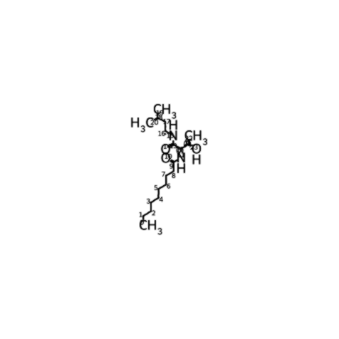 CCCCCCCCCC(=O)N[C@H](C(=O)N[CH]CC(C)C)[C@@H](C)O